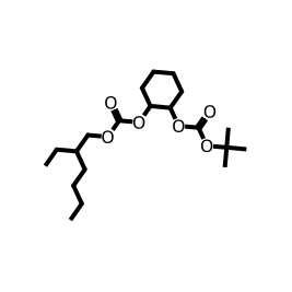 CCCCC(CC)COC(=O)OC1CCCCC1OC(=O)OC(C)(C)C